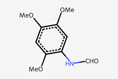 COc1cc(OC)c(OC)cc1NC=O